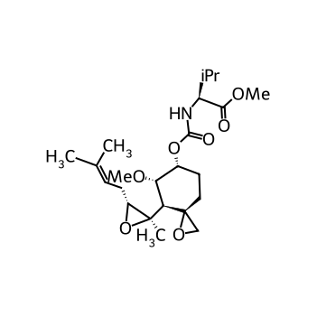 COC(=O)[C@@H](NC(=O)O[C@@H]1CC[C@]2(CO2)[C@@H]([C@@]2(C)O[C@@H]2CC=C(C)C)[C@@H]1OC)C(C)C